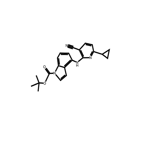 CC(C)(C)OC(=O)n1ccc2c(Nc3nc(C4CC4)ccc3C#N)cccc21